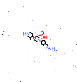 CC(=O)O.CC1CNCCC1N1CCN(c2ccc(C=NN)cc2)CC1